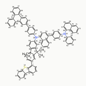 C=C1/C(=C\C(=C/C)c2cccc3c2sc2ccccc23)C(C)(C)c2cc(N(c3ccc(-c4ccc5c6ccccc6c6ccccc6c5c4)cc3)c3ccc(-c4ccc(N(c5ccccc5)c5cccc6ccccc56)cc4)c4ccccc34)ccc21